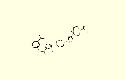 CC(C)c1cccc(OC(C)c2nnc([C@H]3CC[C@H](n4cc(C5(O)CCN(C(=O)O)CC5)nn4)CC3)n2C)c1